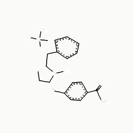 CNC(=O)c1ccc(C[C@@H]2CC[C@H]([C@H](O[Si](C)(C)C(C)(C)C)c3ccccc3)N2C(=O)O)cc1